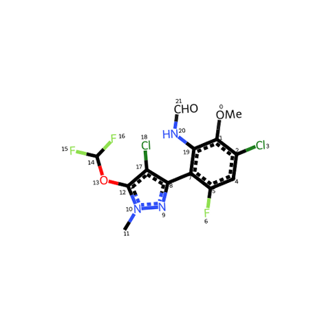 COc1c(Cl)cc(F)c(-c2nn(C)c(OC(F)F)c2Cl)c1NC=O